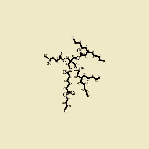 CCCCCC(CCCCC)CC(=O)OCC(COC(=O)CCCCC(=O)OCCCC)(COC(=O)CCN(C)C)COC(=O)CC(CCCCC)CCCCC